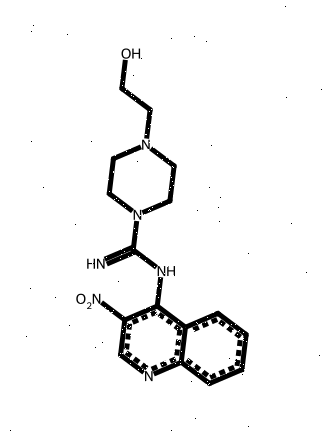 N=C(Nc1c([N+](=O)[O-])cnc2ccccc12)N1CCN(CCO)CC1